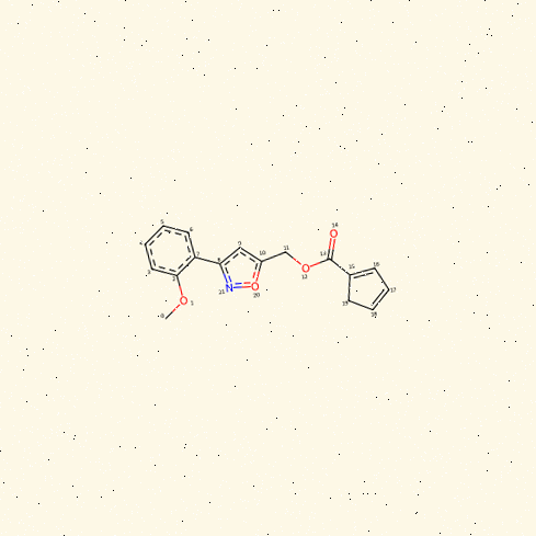 COc1ccccc1-c1cc(COC(=O)C2=CC=CC2)on1